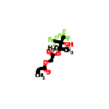 C=CC(=O)OCC(=O)OC(C)(C)C(O)(C(F)(F)F)C(F)(F)F